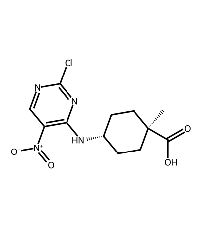 C[C@]1(C(=O)O)CC[C@H](Nc2nc(Cl)ncc2[N+](=O)[O-])CC1